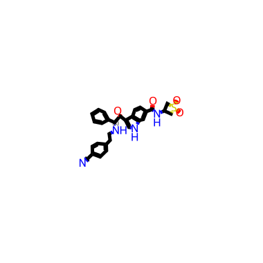 N#Cc1ccc(CCN[C@@H](C(=O)c2c[nH]c3cc(C(=O)NC4CS(=O)(=O)C4)ccc23)c2ccccc2)cc1